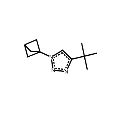 CC(C)(C)c1cn(C23CC(C2)C3)nn1